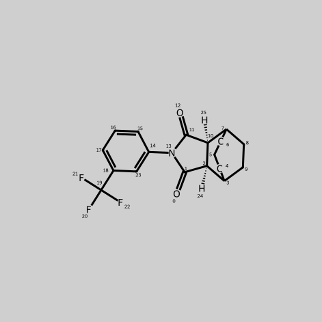 O=C1[C@@H]2C3CCCC(CC3)[C@@H]2C(=O)N1c1cccc(C(F)(F)F)c1